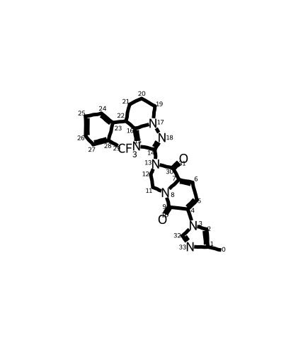 Cc1cn(-c2ccc3n(c2=O)CCN(c2nc4n(n2)CCCC4c2ccccc2C(F)(F)F)C3=O)cn1